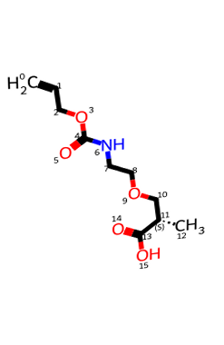 C=CCOC(=O)NCCOC[C@H](C)C(=O)O